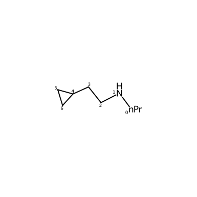 CCCNCCC1CC1